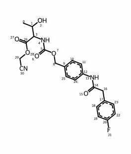 CC(O)C(NC(=O)OCc1ccc(NC(=O)Cc2ccc(F)cc2)cc1)C(=O)OCC#N